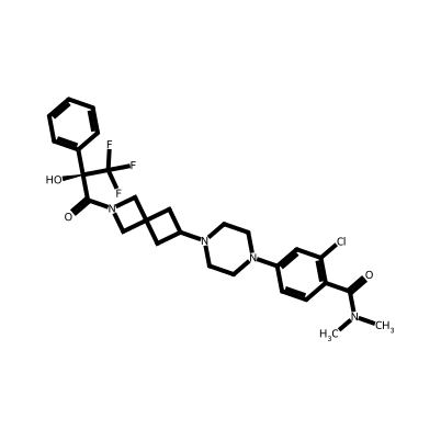 CN(C)C(=O)c1ccc(N2CCN(C3CC4(C3)CN(C(=O)[C@](O)(c3ccccc3)C(F)(F)F)C4)CC2)cc1Cl